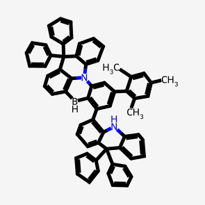 Cc1cc(C)c(-c2cc(-c3cccc4c3Nc3ccccc3C4(c3ccccc3)c3ccccc3)c3c(c2)N2c4ccccc4C(c4ccccc4)(c4ccccc4)c4cccc(c42)B3)c(C)c1